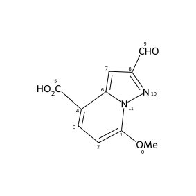 COc1ccc(C(=O)O)c2cc(C=O)nn12